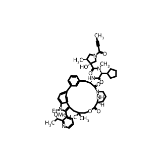 CC#CC(=O)N1C[C@H](C)[C@](O)(C(=O)N(C)[C@H](C(=O)N[C@H]2Cc3cccc(c3)-c3ccc4c(c3)c(c(-c3cccnc3[C@H](C)OC)n4CC)CC(C)(C)COC(=O)[C@@H]3CCCN(N3)C2=O)C2CCCC2)C1